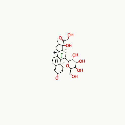 CC1C[C@H]2[C@@H]3CCC4=CC(=O)C=C[C@]4(C)[C@@]3(F)C([C@@H]3O[C@H](CO)[C@H](O)[C@H](O)[C@H]3O)C[C@]2(C)[C@@]1(O)C(=O)CO